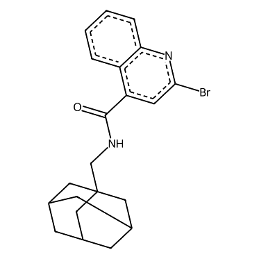 O=C(NCC12CC3CC(CC(C3)C1)C2)c1cc(Br)nc2ccccc12